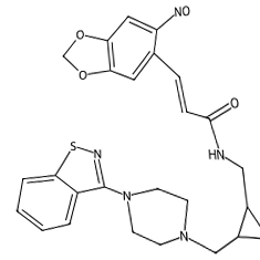 O=Nc1cc2c(cc1/C=C/C(=O)NCC1CC1CN1CCN(c3nsc4ccccc34)CC1)OCO2